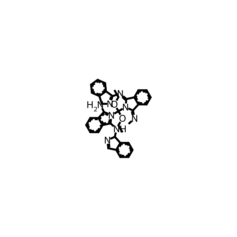 CCOC(OCC)(N1/C(=N\C)c2ccccc2/C1=N/C1=NCc2ccccc21)n1c(N)c2ccccc2c1NC1N=Cc2ccccc21